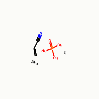 C=CC#N.O=P(O)(O)O.[AlH3].[Ti]